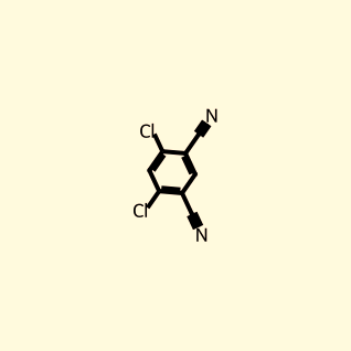 N#Cc1cc(C#N)c(Cl)cc1Cl